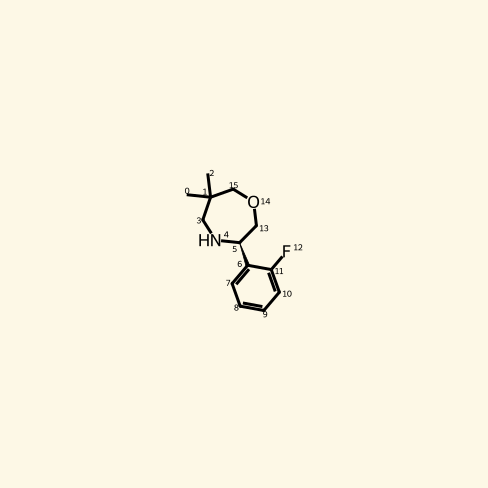 CC1(C)CN[C@H](c2ccccc2F)COC1